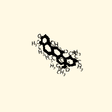 CN(C)C(=O)C12CCC(C)(C)C(C#N)C1C1C(=O)CC3C4(C)C=CC(=O)C(C)(C)C4CCC3(C)C1(C)CC2